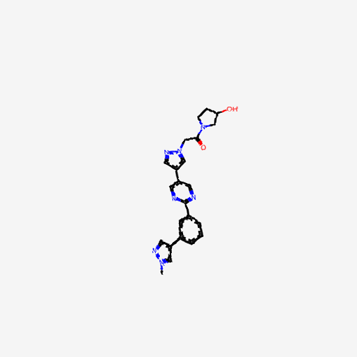 Cn1cc(-c2cccc(-c3ncc(-c4cnn(CC(=O)N5CCC(O)C5)c4)cn3)c2)cn1